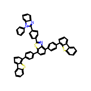 c1ccc(-n2c(-c3ccc(-c4nc5c(-c6ccc(-c7cccc8c7sc7ccccc78)cc6)ccc(-c6ccc(-c7cccc8c7sc7ccccc78)cc6)c5s4)cc3)nc3ccccc32)cc1